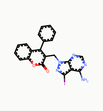 Nc1ncnc2c1c(I)nn2Cc1c(-c2ccccc2)c2ccccc2oc1=O